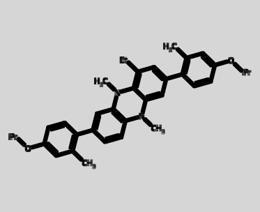 CCc1cc(-c2ccc(OC(C)C)cc2C)cc2c1N(C)c1cc(-c3ccc(OC(C)C)cc3C)ccc1N2C